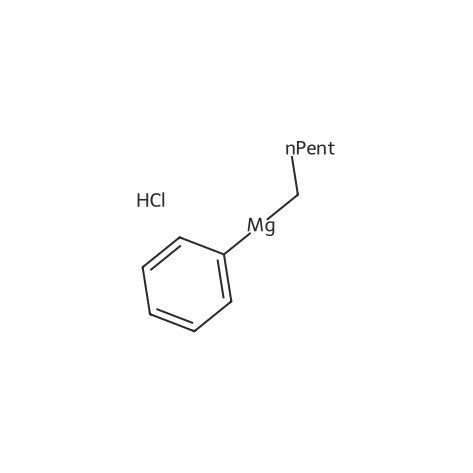 CCCCC[CH2][Mg][c]1ccccc1.Cl